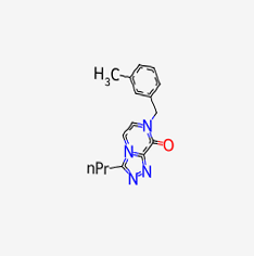 CCCc1nnc2c(=O)n(Cc3cccc(C)c3)ccn12